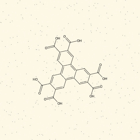 O=C(O)c1cc2c3cc(C(=O)O)c(C(=O)O)cc3c3cc(C(=O)O)c(C(=O)O)cc3c2cc1C(=O)O